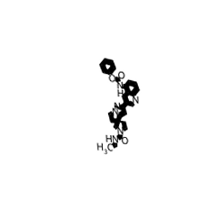 CCNC(=O)N1CC[C@]2(CCn3nc(-c4cnc5cccc(NC(=O)Oc6ccccc6)c5c4)cc32)C1